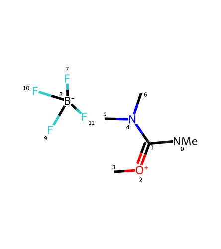 CNC(=[O+]C)N(C)C.F[B-](F)(F)F